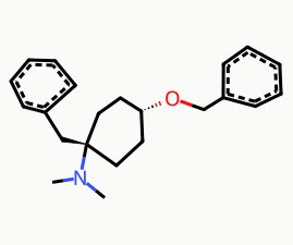 CN(C)[C@]1(Cc2ccccc2)CC[C@H](OCc2ccccc2)CC1